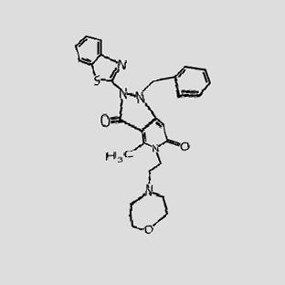 Cc1c2c(=O)n(-c3nc4ccccc4s3)n(Cc3ccccc3)c2cc(=O)n1CCN1CCOCC1